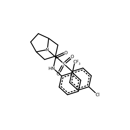 O=C(Nc1ccccc1C(F)(F)F)N1C2CCC1CC(S(=O)(=O)c1ccc(Cl)cc1)C2